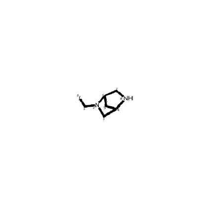 ICN1CC2CC1CN2